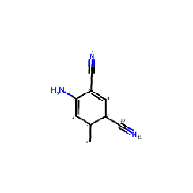 CC1C=C(N)C(C#N)=CC1C#N